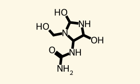 NC(=O)NC1C(O)NC(O)N1CO